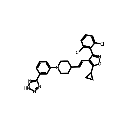 Clc1cccc(Cl)c1-c1noc(C2CC2)c1C=CC1CCN(c2cccc(-c3nn[nH]n3)c2)CC1